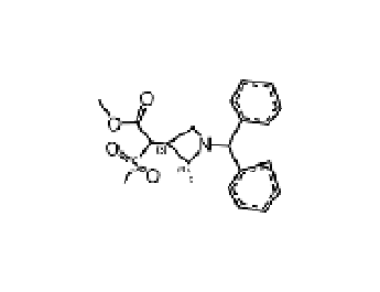 COC(=O)C([C@H]1CN(C(c2ccccc2)c2ccccc2)[C@@H]1C)S(C)(=O)=O